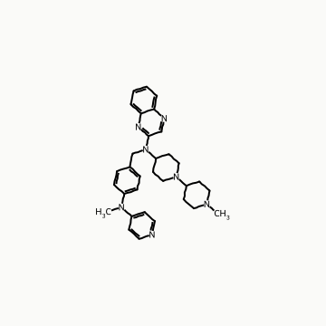 CN1CCC(N2CCC(N(Cc3ccc(N(C)c4ccncc4)cc3)c3cnc4ccccc4n3)CC2)CC1